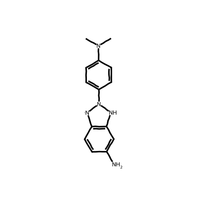 CN(C)c1ccc(N2[N]c3ccc(N)cc3N2)cc1